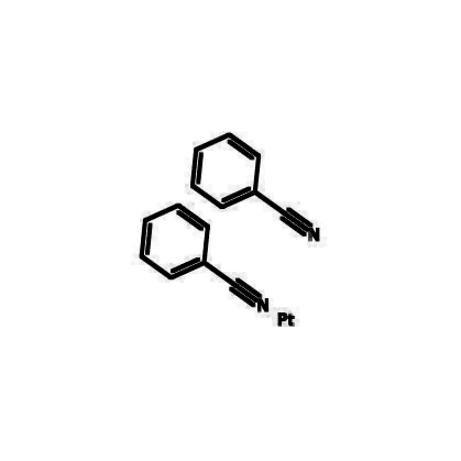 N#Cc1ccccc1.N#Cc1ccccc1.[Pt]